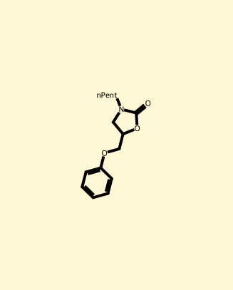 CCCCCN1CC(COc2ccccc2)OC1=O